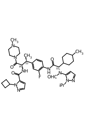 CC1CCC([C@@H](C(=O)Nc2ccc([C@H](C)[C@@H](NC(=O)c3ccnn3C3CCC3)C(=O)N3CCN(C)CC3)cc2F)N(C=O)c2ccnn2C(C)C)CC1